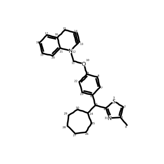 Cc1csc(C(c2ccc(OCN3C#CCc4ccccc43)cc2)C2CCCCCC2)n1